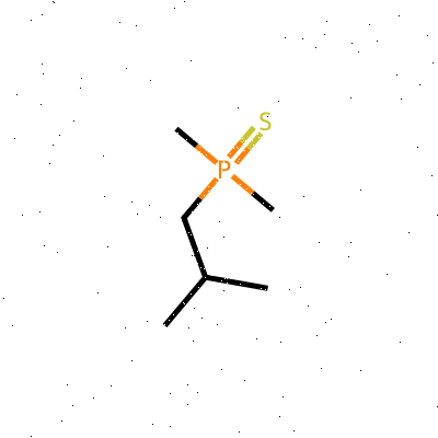 CC(C)CP(C)(C)=S